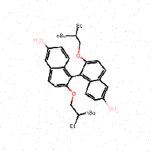 Bc1ccc2c(-c3c(OCC(CC)CCCC)ccc4cc(B)ccc34)c(OCC(CC)CCCC)ccc2c1